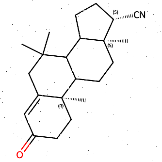 CC1(C)CC2=CC(=O)CC[C@]2(C)C2CC[C@@]3(C)C(CC[C@@H]3C#N)C21